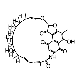 C/C1=C/C=C/[C@H](C)[C@H](O)[C@@H](C)[C@@H](O)[C@@H](C)[C@H](C)[C@H](C)[C@@H](C)/C=C/O[C@@]2(C)Oc3c(C)c(O)c4c(c3C2=O)C(=O)C=C(NC1=O)C4=O